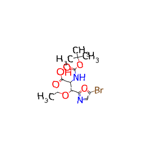 CCOC(c1ncc(Br)o1)C(NC(=O)OC(C)(C)C)C(=O)O